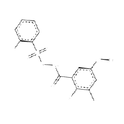 CCOc1cc(C)c(F)c(C(=O)NNS(=O)(=O)c2ccccc2F)c1